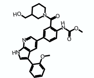 COC(=O)Nc1ccc(-c2cnc3[nH]cc(-c4ccccc4OC)c3c2)cc1C(=O)N1CCCC(CO)C1